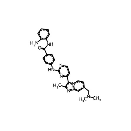 Cc1nc2cc(CN(C)C)ccn2c1-c1ccnc(Nc2ccc(C(=O)Nc3ccccc3N)cc2)n1